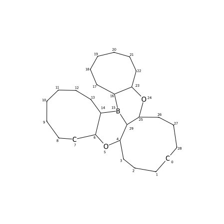 C1CCCC2OC3CCCCCCCC3B3C4CCCCCCC4OC(CCC1)C32